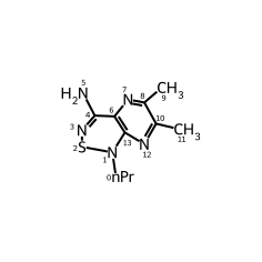 CCCN1SN=C(N)c2nc(C)c(C)nc21